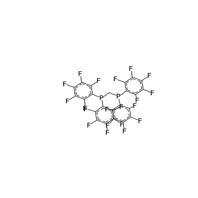 Fc1c(F)c(F)c(P(CP(c2c(F)c(F)c(F)c(F)c2F)c2c(F)c(F)c(F)c(F)c2F)c2c(F)c(F)c(F)c(F)c2F)c(F)c1F